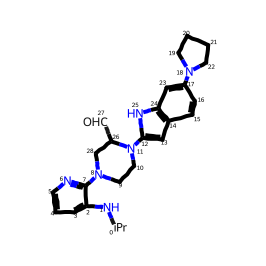 CC(C)Nc1cccnc1N1CCN(c2cc3ccc(N4CCCC4)cc3[nH]2)C(C=O)C1